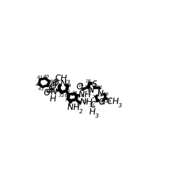 COc1ncc(-c2cc(N)c(C=N)c(NC(=O)c3csc(CN4CC(C)OC(C)C4)n3)c2)cc1NS(=O)(=O)C1CCCCC1